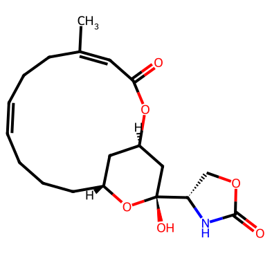 C/C1=C/C(=O)O[C@@H]2C[C@@H](CCC/C=C\CC1)O[C@@](O)([C@@H]1COC(=O)N1)C2